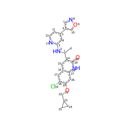 CC(Nc1cc(-c2cnoc2)ccn1)c1cc2cc(Cl)c(OCC3CC3)cc2[nH]c1=O